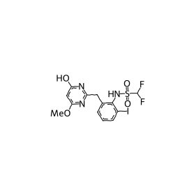 COc1cc(O)nc(Cc2cccc(I)c2NS(=O)(=O)C(F)F)n1